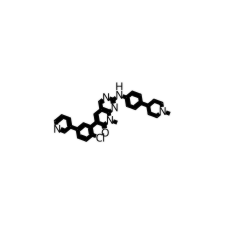 CN1CCC(c2ccc(Nc3ncc4cc(-c5cc(-c6cccnc6)ccc5Cl)c(=O)n(C)c4n3)cc2)CC1